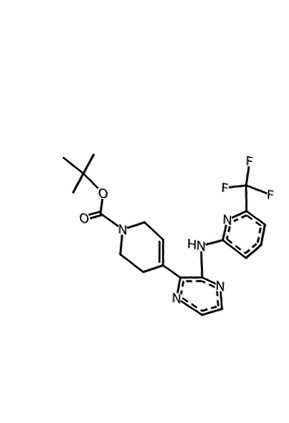 CC(C)(C)OC(=O)N1CC=C(c2nccnc2Nc2cccc(C(F)(F)F)n2)CC1